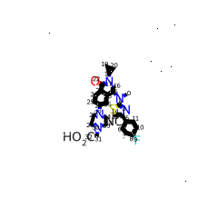 CN(c1nc(-c2ccc(F)cc2)c(C#N)s1)c1cn(C2CC2)c(=O)c2ccc(N3CCN(CC(=O)O)CC3)cc12